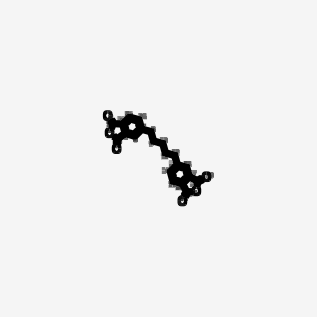 O=C1OC(=O)c2cc(CCCCCc3ccc4c(c3)C(=O)OC4=O)ccc21